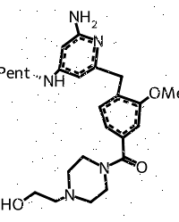 CCC[C@@H](C)Nc1cc(N)nc(Cc2ccc(C(=O)N3CCN(CCO)CC3)cc2OC)c1